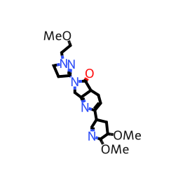 COCCN1CCC(N2CC3=NC(C4C=NC(OC)C(OC)C4)=CCC3C2=O)=N1